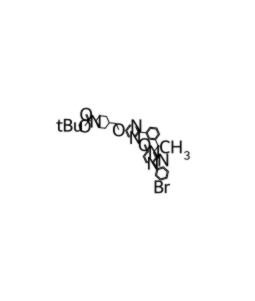 CC(c1cccc(-c2ncc(OCC3CCN(C(=O)OC(C)(C)C)CC3)cn2)c1)n1c(=O)ccn2c3cc(Br)ccc3nc12